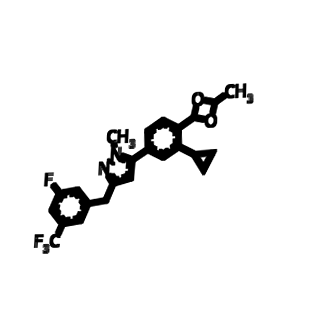 CC1OC(c2ccc(-c3cc(Cc4cc(F)cc(C(F)(F)F)c4)nn3C)cc2C2CC2)O1